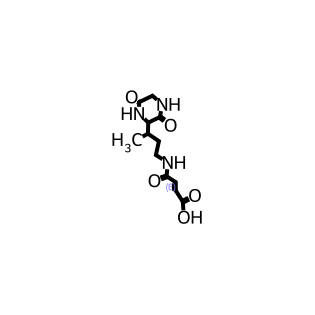 CC(CCNC(=O)/C=C/C(=O)O)C1NC(=O)CNC1=O